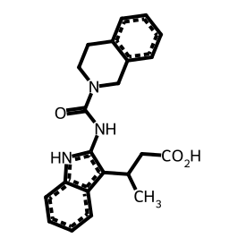 CC(CC(=O)O)c1c(NC(=O)N2CCc3ccccc3C2)[nH]c2ccccc12